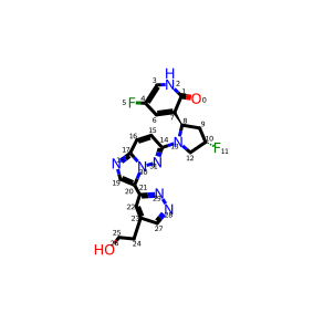 O=c1[nH]cc(F)cc1[C@H]1C[C@H](F)CN1c1ccc2ncc(-c3cc(CCO)cnn3)n2n1